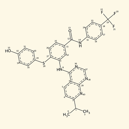 CC(C)c1ccc2c(Nc3cc(C(=O)Nc4ccc(C(F)(F)F)cc4)ccc3Sc3ccc(O)cc3)ncnc2n1